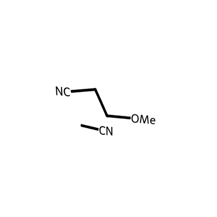 CC#N.COCCC#N